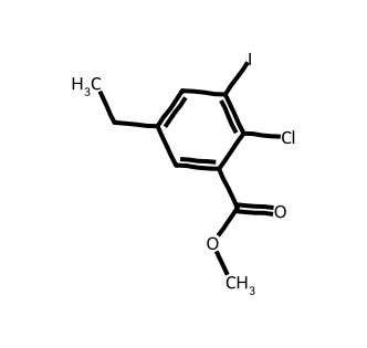 CCc1cc(I)c(Cl)c(C(=O)OC)c1